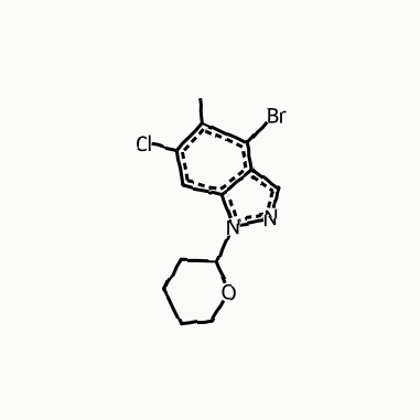 Cc1c(Cl)cc2c(cnn2C2CCCCO2)c1Br